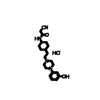 Cl.N#CCC(=O)NC1CCC(CCN2CCN(c3cccc(O)c3)CC2)CC1